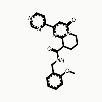 COc1ccccc1CNC(=O)C1CCCn2c1nc(-c1ccncn1)cc2=O